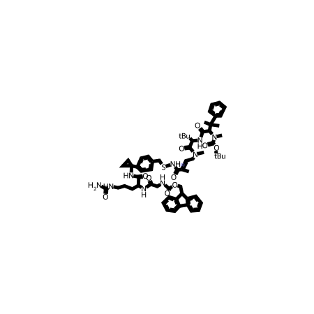 C/C(=C\CN(C)C(=O)C(NC(=O)C(N(C)C(=O)OC(C)(C)C)C(C)(C)c1ccccc1)C(C)(C)C)C(=O)NSCc1ccc(C2(NC(=O)C(CCCNC(N)=O)NC(=O)CNC(=O)OCC3c4ccccc4-c4ccccc43)CC2)cc1